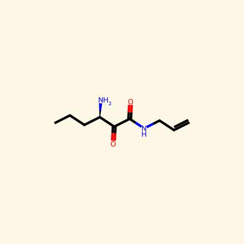 C=CCNC(=O)C(=O)[C@H](N)CCC